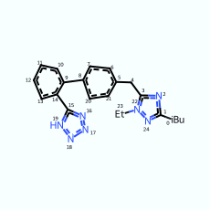 CCC(C)c1nc(Cc2ccc(-c3ccccc3-c3nnn[nH]3)cc2)n(CC)n1